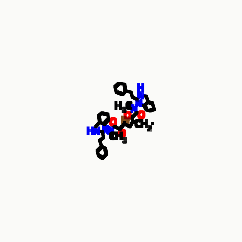 [CH2]C(CC(Br)C(=O)C(=O)N(C)N1c2ccccc2CNC1CCc1ccccc1)C(=O)C(=O)N(C)N1c2ccccc2CNC1CCc1ccccc1